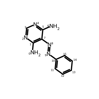 Nc1ncnc(N)c1N=Nc1ccccc1